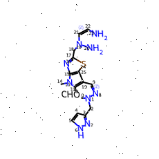 CN(Cc1cc[nH]n1)/N=C\c1c(C=O)n(C)c2nc(CN(N)/C=C\N)sc12